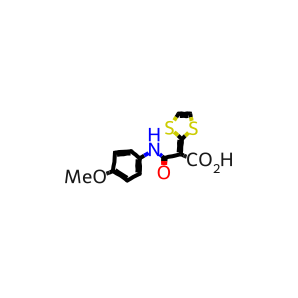 COc1ccc(NC(=O)C(C(=O)O)=C2SC=CS2)cc1